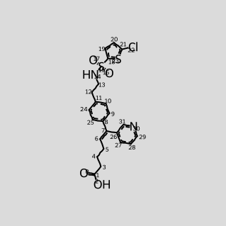 O=C(O)CCCC=C(c1ccc(CCNS(=O)(=O)c2ccc(Cl)s2)cc1)c1cccnc1